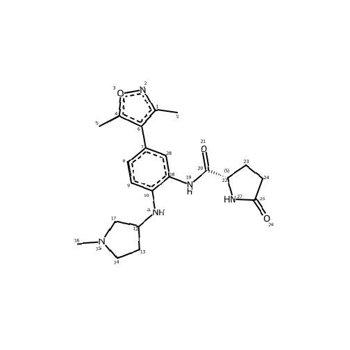 Cc1noc(C)c1-c1ccc(NC2CCN(C)C2)c(NC(=O)[C@@H]2CCC(=O)N2)c1